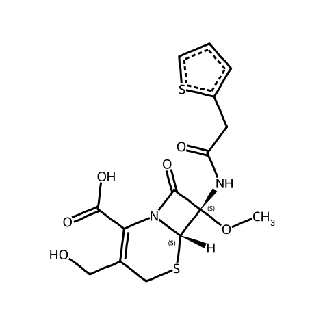 CO[C@@]1(NC(=O)Cc2cccs2)C(=O)N2C(C(=O)O)=C(CO)CS[C@H]21